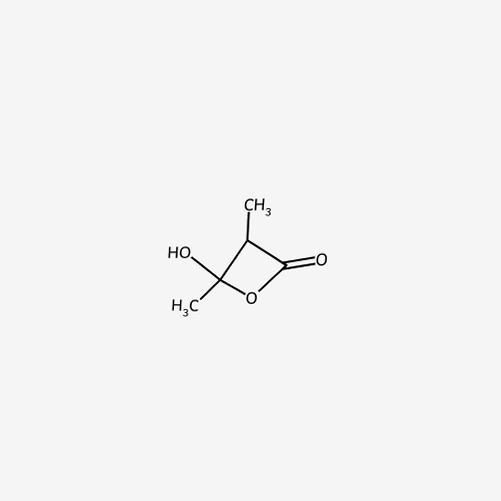 CC1C(=O)OC1(C)O